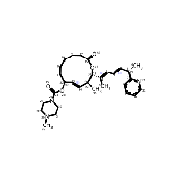 C/C(=C\C=C\[C@H](C)c1ccccn1)[C@H]1OC(=O)CCCCC[C@H](OC(=O)N2CCN(C)CC2)/C=C/[C@@H]1C